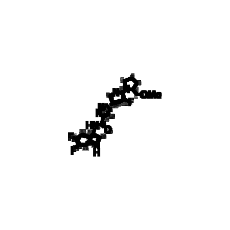 COCC1CCCN1c1ncc(-n2cc(C(=O)Nc3c[nH]c4cc(F)c(F)cc34)nn2)cc1F